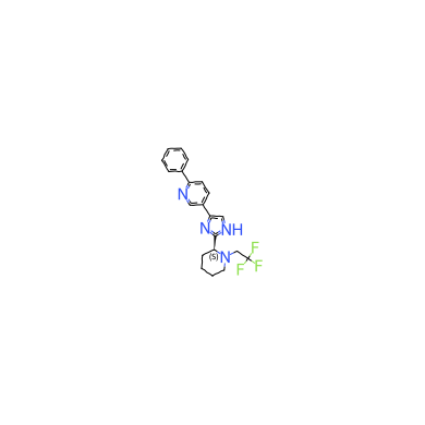 FC(F)(F)CN1CCCC[C@H]1c1nc(-c2ccc(-c3ccccc3)nc2)c[nH]1